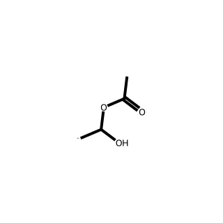 [CH2]C(O)OC(C)=O